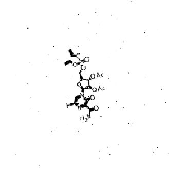 C=COP(=O)(OC=C)OCC1OC(n2cc(F)nc(C(N)=O)c2=O)C(OC(C)=O)C1OC(C)=O